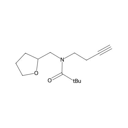 C#CCCN(CC1CCCO1)C(=O)C(C)(C)C